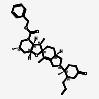 CCC[C@@H]1CC(=O)CC[C@]1(C)[C@H]1CC2=C(C)[C@]3(CC[C@H]2C1)O[C@@H]1C[C@H](C)CN(C(=O)OCc2ccccc2)[C@H]1[C@H]3C